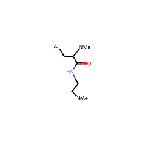 CNCCNC(=O)C(CC(C)=O)NC